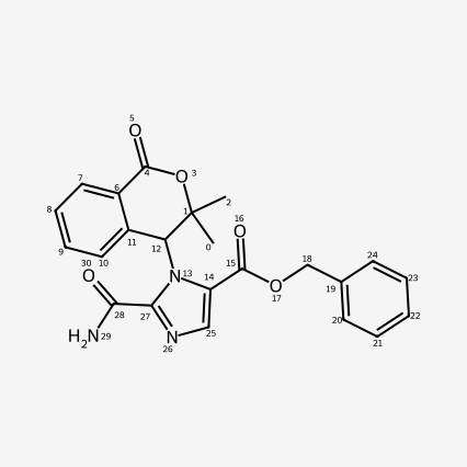 CC1(C)OC(=O)c2ccccc2C1n1c(C(=O)OCc2ccccc2)cnc1C(N)=O